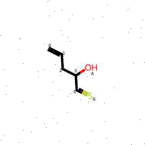 C=CCC(O)C=S